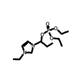 CCOP(=O)(OCC)OC(CC)N1C=CN(CC)C1